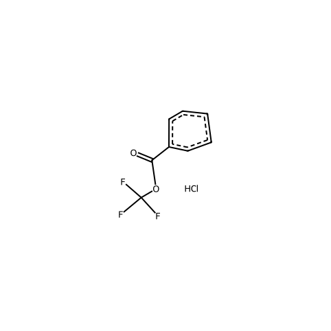 Cl.O=C(OC(F)(F)F)c1ccccc1